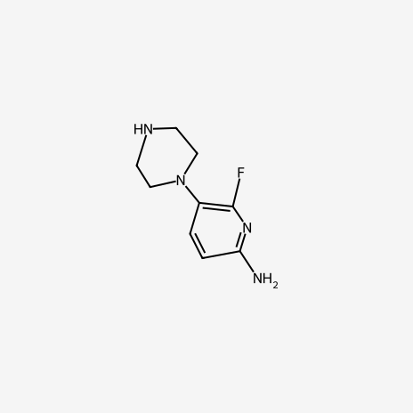 Nc1ccc(N2CCNCC2)c(F)n1